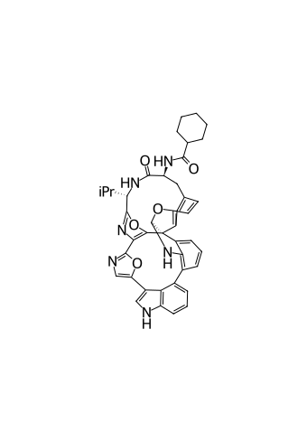 CC(C)[C@@H]1NC(=O)[C@@H](NC(=O)C2CCCCC2)Cc2ccc3c(c2)[C@]24c5cccc(c5NC2O3)-c2cccc3[nH]cc(c23)-c2cnc(o2)-c2nc1oc24